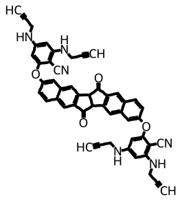 C#CCNc1cc(NCC#C)c(C#N)c(Oc2ccc3cc4c(cc3c2)C2C(=O)c3cc5ccc(Oc6cc(NCC#C)cc(NCC#C)c6C#N)cc5cc3C2C4=O)c1